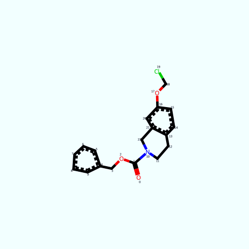 O=C(OCc1ccccc1)N1CCc2ccc(OCCl)cc2C1